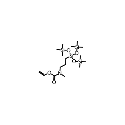 C=COC(=O)N(C)CCC[Si](O[Si](C)(C)C)(O[Si](C)(C)C)O[Si](C)(C)C